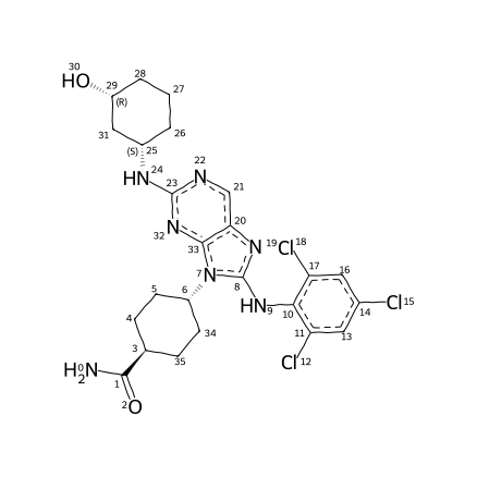 NC(=O)[C@H]1CC[C@H](n2c(Nc3c(Cl)cc(Cl)cc3Cl)nc3cnc(N[C@H]4CCC[C@@H](O)C4)nc32)CC1